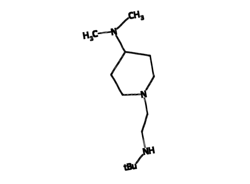 CN(C)C1CCN(CCNC(C)(C)C)CC1